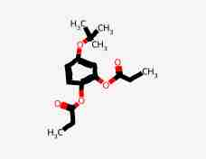 CCC(=O)Oc1ccc(OC(C)(C)C)cc1OC(=O)CC